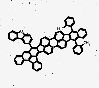 Cc1ccccc1-c1c2c(c(-c3ccccc3C)c3ccccc13)-c1ccc3c4ccc5c6c(ccc(c7ccc-2c1c73)c46)c1c(-c2ccc3oc4ccccc4c3c2)c2cc3ccccc3c3c4ccccc4c(c51)c23